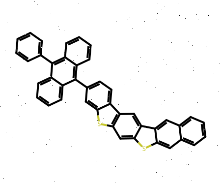 c1ccc(-c2c3ccccc3c(-c3ccc4c(c3)sc3cc5sc6cc7ccccc7cc6c5cc34)c3ccccc23)cc1